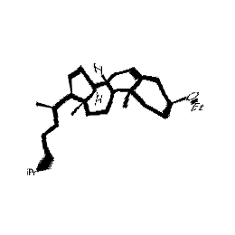 CCO[C@H]1CC[C@@]2(C)C(=CC[C@@H]3C2CC[C@]2(C)[C@@H]([C@H](C)CCCC(C)C)CC[C@@H]32)C1